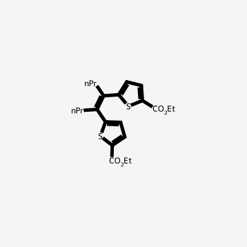 CCCC(=C(CCC)c1ccc(C(=O)OCC)s1)c1ccc(C(=O)OCC)s1